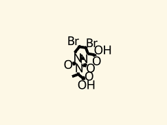 CC(C(=O)O)n1c(=O)n2n(c1=O)C(C(=O)O)C(Br)C(Br)C2